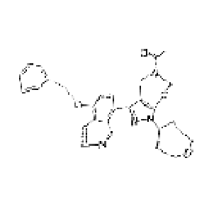 CC(=O)N1CCc2c(c(-c3ccc(OCc4ccccc4)c4ccncc34)nn2C2CCOCC2)C1